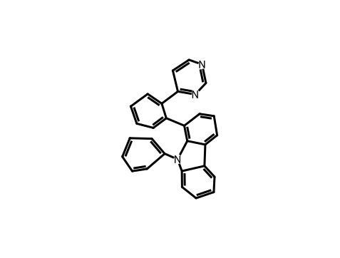 c1ccc(-n2c3ccccc3c3cccc(-c4ccccc4-c4ccncn4)c32)cc1